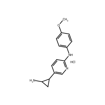 COc1ccc(Nc2ccc(C3CC3N)cn2)cc1.Cl